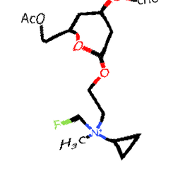 CC(=O)OCC1CC(OC=O)CC(OCC[N+](C)(CF)C2CC2)O1